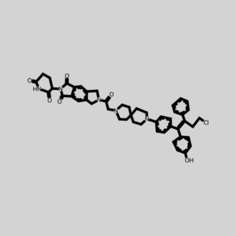 O=C1CCC(N2C(=O)c3cc4c(cc3C2=O)CN(C(=O)CN2CCC3(CC2)CCN(c2ccc(C(=C(CCCl)c5ccccc5)c5ccc(O)cc5)cc2)CC3)C4)C(=O)N1